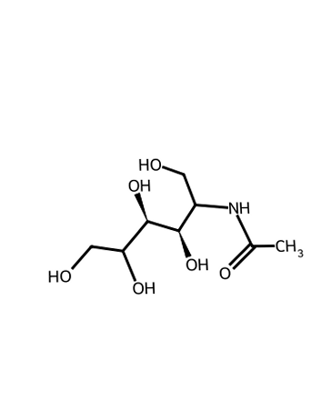 CC(=O)NC(CO)[C@@H](O)[C@H](O)C(O)CO